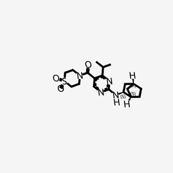 CC(C)c1nc(N[C@H]2C[C@@H]3CC[C@H]2C3)ncc1C(=O)N1CCS(=O)(=O)CC1